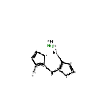 CCC1=[C]([Ti][C]2=C(CC)C=CC2)CC=C1.Cl.[H-]